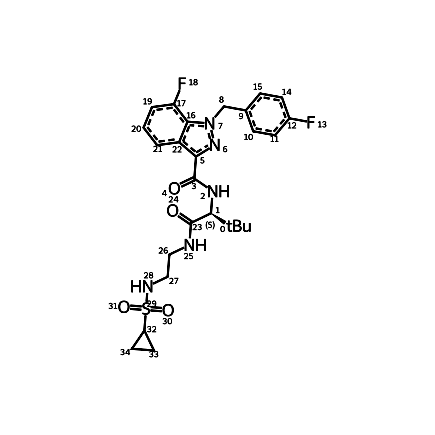 CC(C)(C)[C@H](NC(=O)c1nn(Cc2ccc(F)cc2)c2c(F)cccc12)C(=O)NCCNS(=O)(=O)C1CC1